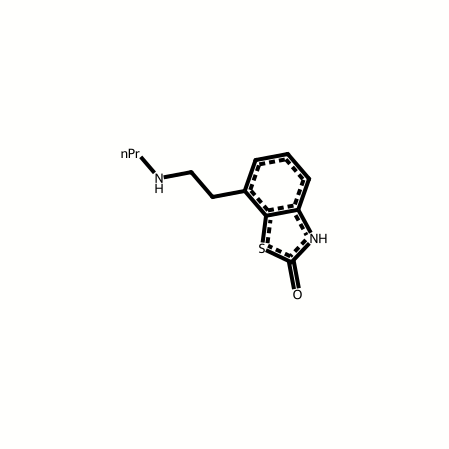 CCCNCCc1cccc2[nH]c(=O)sc12